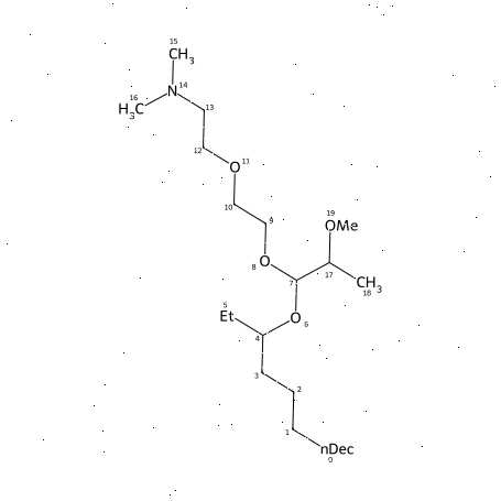 CCCCCCCCCCCCCC(CC)OC(OCCOCCN(C)C)C(C)OC